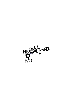 Cc1[nH]c(/C=C2\C(=O)Nc3ccc(C(=O)N(C)C)cc32)c(C)c1C(=O)NCCN1CCCC1